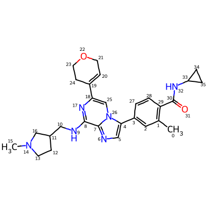 Cc1cc(-c2cnc3c(NCC4CCN(C)C4)nc(C4=CCOCC4)cn23)ccc1C(=O)NC1CC1